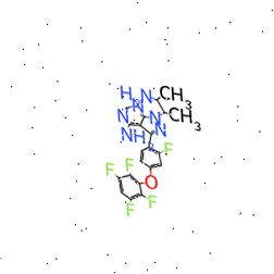 CC(N)C(C)n1nc(-c2ccc(Oc3c(F)c(F)cc(F)c3F)cc2F)c2c(N)ncnc21